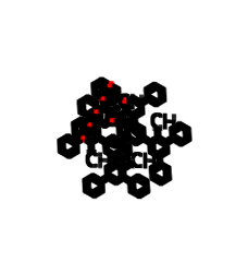 C#Cc1c(-c2ccccc2)cc(-c2ccccc2)cc1C12CC3CC(c4cc(-c5ccccc5)cc(-c5ccccc5)c4C#C)(C1)CC(C14CC5(c6cc(-c7ccccc7)cc(-c7ccccc7)c6C#C)CC(c6cc(-c7ccccc7)cc(-c7ccccc7)c6C#C)(CC(c6cc(-c7ccccc7)cc(-c7ccccc7)c6C#C)(C5)C1)C4)(C3)C2